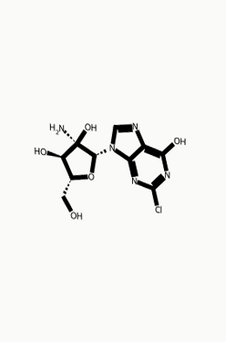 N[C@@]1(O)[C@H](O)[C@@H](CO)O[C@H]1n1cnc2c(O)nc(Cl)nc21